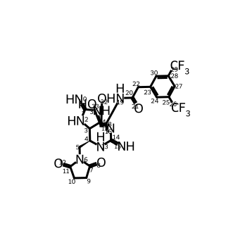 N=C1NC2[C@H](CN3C(=O)CCC3=O)NC(=N)N3CC(NC(=O)Cc4cc(C(F)(F)F)cc(C(F)(F)F)c4)C(O)(O)C23N1